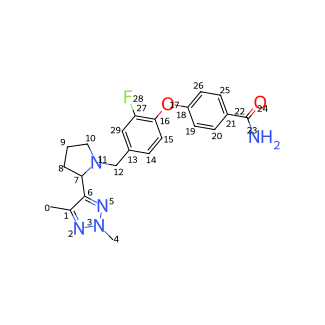 Cc1nn(C)nc1C1CCCN1Cc1ccc(Oc2ccc(C(N)=O)cc2)c(F)c1